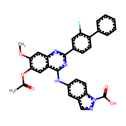 COc1cc2nc(-c3ccc(-c4ccccc4)c(F)c3)nc(Nc3ccc4c(cnn4C(=O)O)c3)c2cc1OC(C)=O